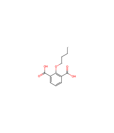 [CH2]CC[CH]Oc1c(C(=O)O)cccc1C(=O)O